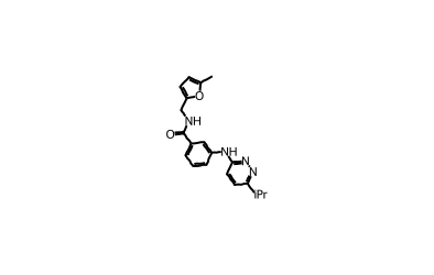 Cc1ccc(CNC(=O)c2cccc(Nc3ccc(C(C)C)nn3)c2)o1